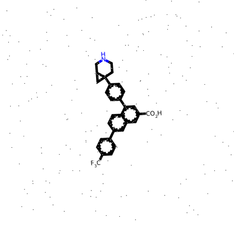 O=C(O)c1cc(-c2ccc(C34CCNCC3C4)cc2)c2ccc(-c3ccc(C(F)(F)F)cc3)cc2c1